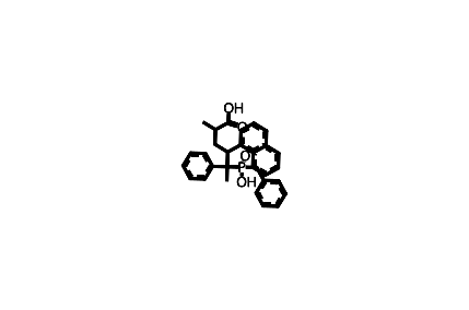 CC(CC(c1cccc2ccccc12)C(C)(c1ccccc1)P(=O)(O)Cc1ccccc1)C(=O)O